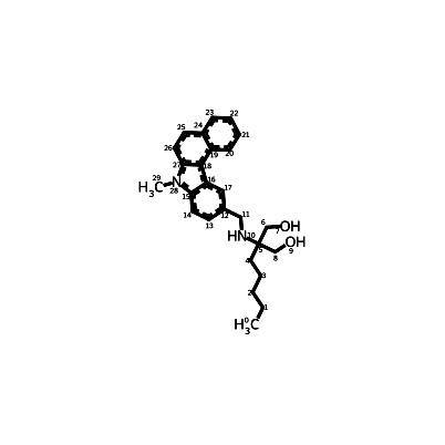 CCCCCC(CO)(CO)NCc1ccc2c(c1)c1c3ccccc3ccc1n2C